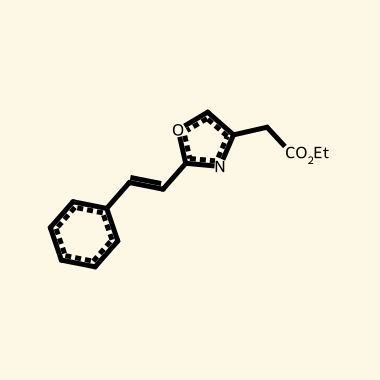 CCOC(=O)Cc1coc(C=Cc2ccccc2)n1